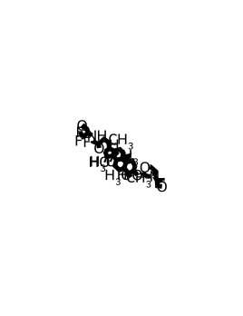 C[C@@H]1CC(CNC(C=O)C(F)(F)F)OC2[C@H]1C1(C)CCC34CC35CCC(O[C@H]3CN(C6COC6)CCO3)C(C)(C)[C@@H]5CCC4[C@]1(C)[C@H]2O